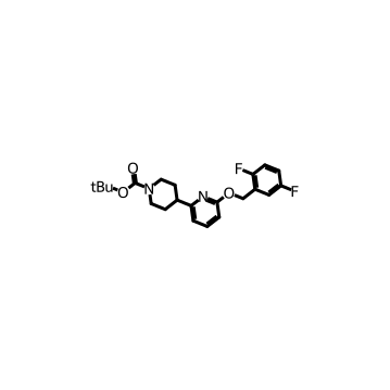 CC(C)(C)OC(=O)N1CCC(c2cccc(OCc3cc(F)ccc3F)n2)CC1